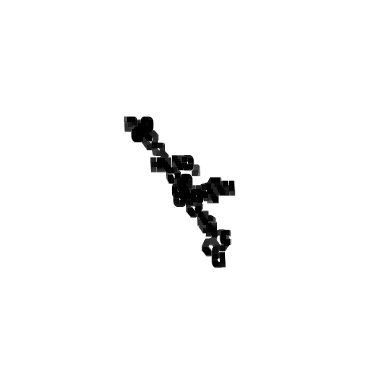 CC(C)S(=O)(=O)N1CCC2(CC1)CC(CNc1ccc(S(=O)(=O)NC(=O)c3ccc(N4CCN([C@@H]5CCCCc6c(Cl)cccc65)CC4)cc3Oc3cnc4[nH]ccc4c3)cc1[N+](=O)[O-])C2